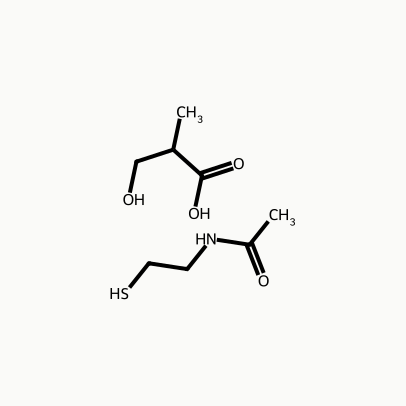 CC(=O)NCCS.CC(CO)C(=O)O